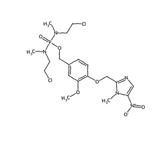 COc1cc(COP(=O)(N(C)CCCl)N(C)CCCl)ccc1OCc1ncc([N+](=O)[O-])n1C